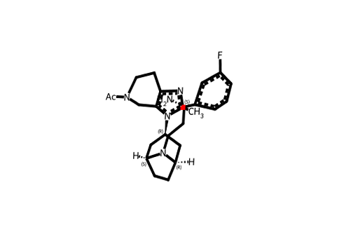 CC(=O)N1CCc2nc(C)n([C@H]3C[C@H]4CC[C@@H](C3)N4CC[C@H](N)c3cccc(F)c3)c2C1